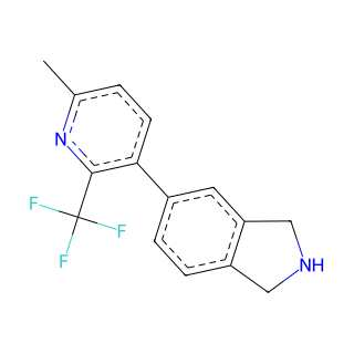 Cc1ccc(-c2ccc3c(c2)CNC3)c(C(F)(F)F)n1